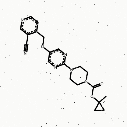 CC1(OC(=O)N2CCN(c3ncc(OCc4ccncc4C#N)cn3)CC2)CC1